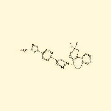 Cc1cn(-c2ccc(-c3cn([C@H]4CCc5ccccc5N(CC(F)(F)F)C4=O)nn3)cc2)cn1